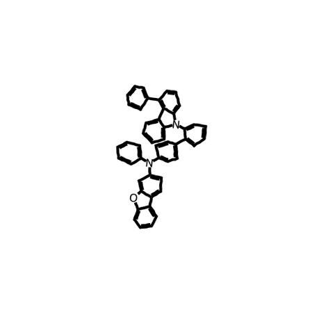 c1ccc(-c2cccc3c2c2ccccc2n3-c2ccccc2-c2ccc(N(c3ccccc3)c3ccc4c(c3)oc3ccccc34)cc2)cc1